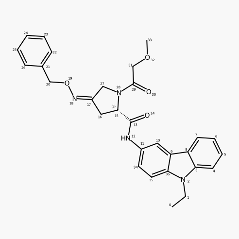 CCn1c2ccccc2c2cc(NC(=O)[C@@H]3CC(=NOCc4ccccc4)CN3C(=O)COC)ccc21